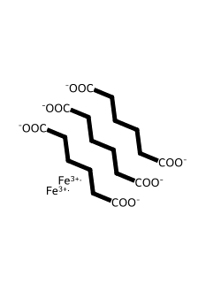 O=C([O-])CCCCC(=O)[O-].O=C([O-])CCCCC(=O)[O-].O=C([O-])CCCCC(=O)[O-].[Fe+3].[Fe+3]